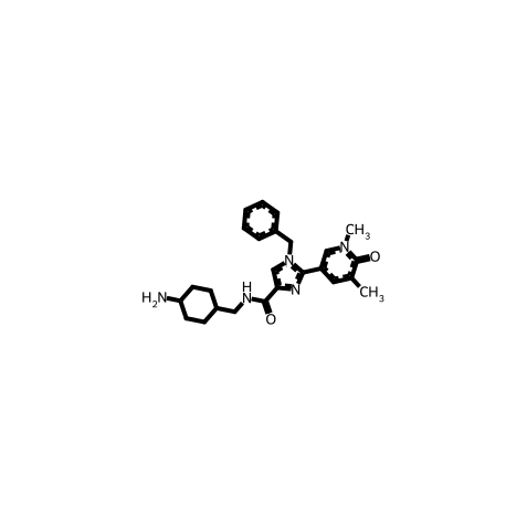 Cc1cc(-c2nc(C(=O)NCC3CCC(N)CC3)cn2Cc2ccccc2)cn(C)c1=O